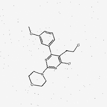 COc1cccc(-c2nc(N3CCOCC3)nc(Cl)c2CCCl)c1